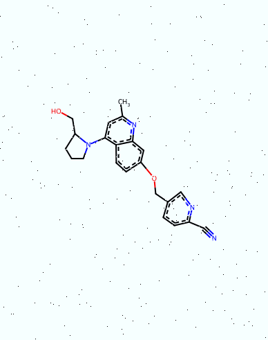 Cc1cc(N2CCCC2CO)c2ccc(OCc3ccc(C#N)nc3)cc2n1